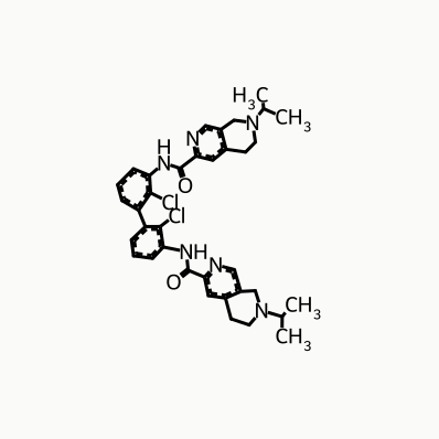 CC(C)N1CCc2cc(C(=O)Nc3cccc(-c4cccc(NC(=O)c5cc6c(cn5)CN(C(C)C)CC6)c4Cl)c3Cl)ncc2C1